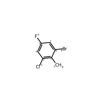 Cc1c(Cl)cc(F)cc1Br